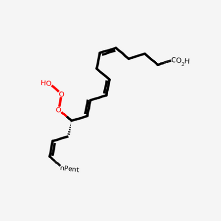 CCCCC/C=C\C[C@@H](/C=C/C=C\C/C=C\CCCC(=O)O)OOO